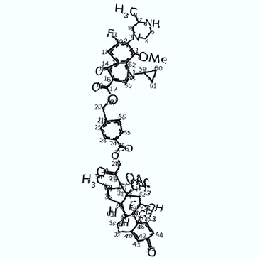 COc1c(N2CCNC(C)C2)c(F)cc2c(=O)c(C(=O)OCc3ccc(C(=O)OCC(=O)[C@]4(OC(C)=O)[C@H](C)C[C@@H]5[C@H]6CCC7=CC(=O)C=C[C@@]7(C)[C@]6(F)[C@H](O)C[C@]54C)cc3)cn(C3CC3)c12